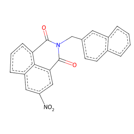 O=C1c2cccc3cc([N+](=O)[O-])cc(c23)C(=O)N1Cc1ccc2ccccc2c1